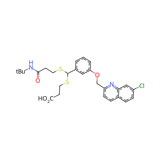 CC(C)(C)NC(=O)CCSC(SCCC(=O)O)c1cccc(OCc2ccc3ccc(Cl)cc3n2)c1